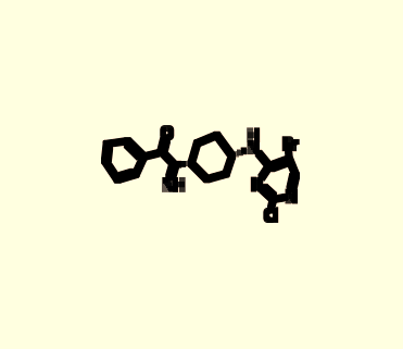 N=C(C(=O)c1ccccc1)[C@H]1CC[C@@H](Nc2nc(Cl)ncc2Br)CC1